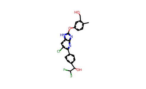 Cc1ccc(Oc2nc3nc(-c4ccc(C(O)C(F)F)cc4)c(Cl)cc3[nH]2)cc1CO